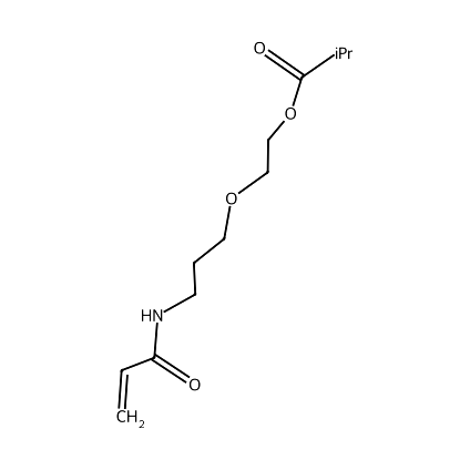 C=CC(=O)NCCCOCCOC(=O)C(C)C